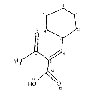 CC(=O)/C(=C\C1CCCCC1)C(=O)O